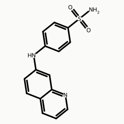 NS(=O)(=O)c1ccc(Nc2ccc3cccnc3c2)cc1